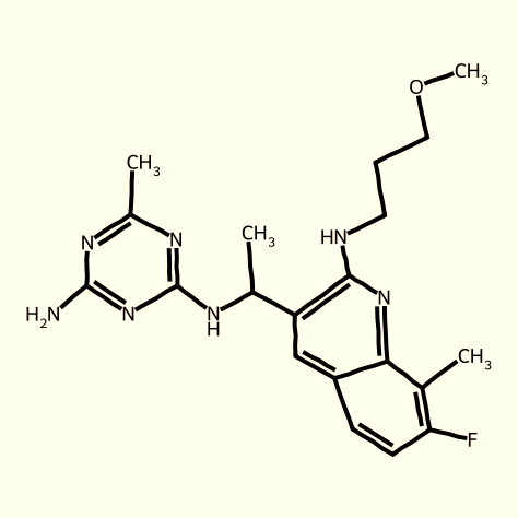 COCCCNc1nc2c(C)c(F)ccc2cc1C(C)Nc1nc(C)nc(N)n1